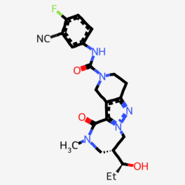 CC[C@H](O)[C@@H]1CN(C)C(=O)c2c3c(nn2C1)CCN(C(=O)Nc1ccc(F)c(C#N)c1)C3